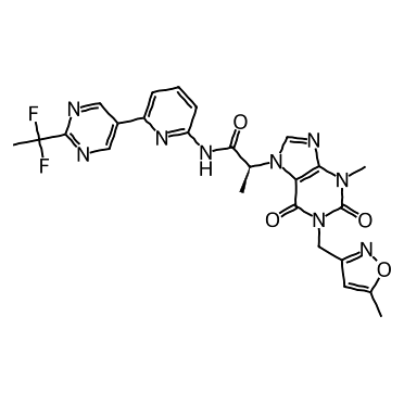 Cc1cc(Cn2c(=O)c3c(ncn3[C@@H](C)C(=O)Nc3cccc(-c4cnc(C(C)(F)F)nc4)n3)n(C)c2=O)no1